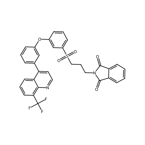 O=C1c2ccccc2C(=O)N1CCCS(=O)(=O)c1cccc(Oc2cccc(-c3ccnc4c(C(F)(F)F)cccc34)c2)c1